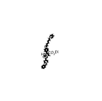 CCOC(=O)C1=C(C)N(CCC2CCN(Cc3ccccc3)CC2)C(=O)NC1c1ccc(OCCCCCCN2CCCC2)cc1